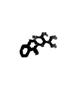 CN(C)C(On1nnc2ccccc2c1=O)=[N+](C)C